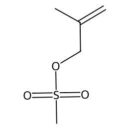 C=C(C)COS(C)(=O)=O